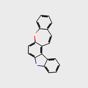 C1=Cc2c(ccc3[nH]c4ccccc4c23)Oc2ccccc21